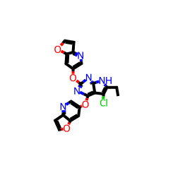 CCc1[nH]c2nc(Oc3cnc4ccoc4c3)nc(Oc3cnc4ccoc4c3)c2c1Cl